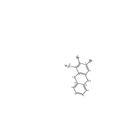 Cc1c(Br)c(Br)cc2c1Sc1ccccc1S2